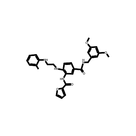 COc1cc(CNC(=O)c2ccc(NCCNc3ccccc3C)c(NC(=O)c3ccco3)c2)cc(OC)c1